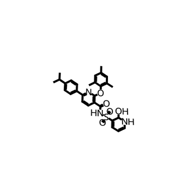 Cc1cc(C)c(Oc2nc(-c3ccc(C(C)C)cc3)ccc2C(=O)NS(=O)(=O)C2=CC=CNC2O)c(C)c1